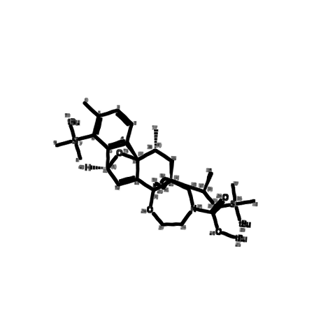 Cc1ccc2c(c1[Si](C)(C)C(C)(C)C)[C@@H]1C=C3[C@]2(O1)[C@H](C)C[C@@]12CN(C(=O)OC(C)(C)C)CCO[C@@]31CC=C2[C@@H](C)O[Si](C)(C)C(C)(C)C